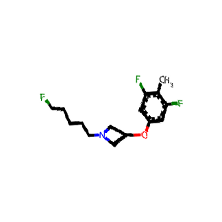 Cc1c(F)cc(OC2CN(CCCCCF)C2)cc1F